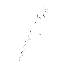 CCCCCCCCCCCCOCCOC(C)OC(C)OS(=O)(=O)[O-].[Na+]